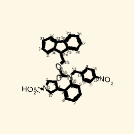 O=C(O)N1CCC(c2ccccc2N(Cc2ccc([N+](=O)[O-])cc2)C(=O)OCC2c3ccccc3-c3ccccc32)C1